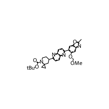 COCOc1cc2nc(C)oc2cc1-c1ccc2nc(C3CCN(C(=O)OC(C)(C)C)C4(CC4)C3)ccc2n1